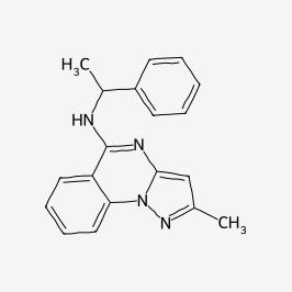 Cc1cc2nc(NC(C)c3ccccc3)c3ccccc3n2n1